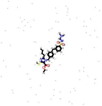 CCCCc1nc(SC)c(C(=O)OCC)n1Cc1ccc(Cc2cccc(S(=O)(=O)N=CN(C)C)c2)cc1